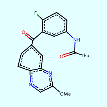 COc1cnc2ccc(C(=O)c3cc(NC(=O)C(C)(C)C)ccc3F)cc2n1